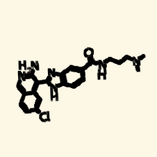 CN(C)CCCNC(=O)c1ccc2[nH]c(-c3c(N)ncc4ccc(Cl)cc34)nc2c1